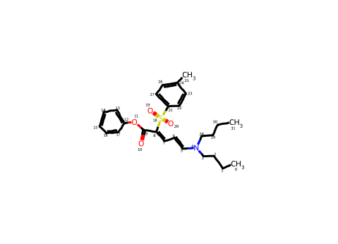 CCCCN(/C=C/C=C(/C(=O)Oc1ccccc1)S(=O)(=O)c1ccc(C)cc1)CCCC